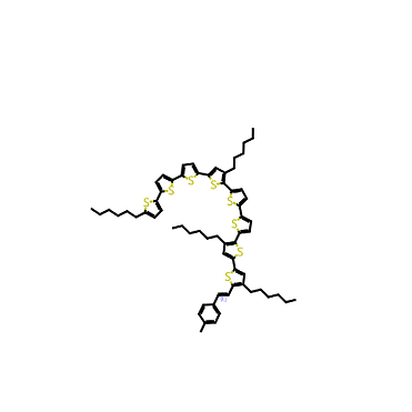 CCCCCCc1ccc(-c2ccc(-c3ccc(-c4cc(CCCCCC)c(-c5ccc(-c6ccc(-c7sc(-c8cc(CCCCCC)c(/C=C/c9ccc(C)cc9)s8)cc7CCCCCC)s6)s5)s4)s3)s2)s1